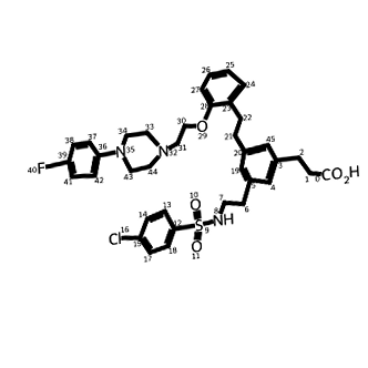 O=C(O)CCc1cc(CCNS(=O)(=O)c2ccc(Cl)cc2)cc(CCc2ccccc2OCCN2CCN(c3ccc(F)cc3)CC2)c1